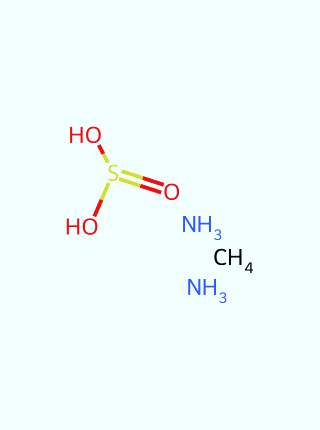 C.N.N.O=S(O)O